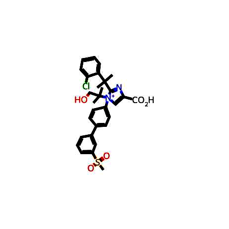 CC(C)(C1=NC(C(=O)O)=C[N+]1(c1ccc(-c2cccc(S(C)(=O)=O)c2)cc1)C(C)(C)CO)c1ccccc1Cl